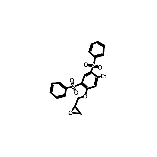 CCc1cc(OCC2CO2)c(S(=O)(=O)c2ccccc2)cc1S(=O)(=O)c1ccccc1